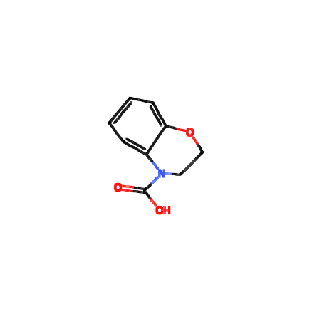 O=C(O)N1CCOc2ccccc21